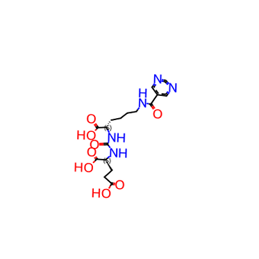 O=C(O)CC[C@H](NC(=O)N[C@@H](CCCCNC(=O)c1cncnc1)C(=O)O)C(=O)O